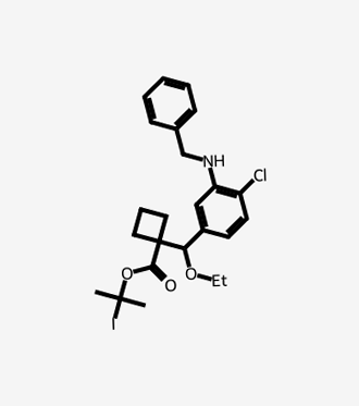 CCOC(c1ccc(Cl)c(NCc2ccccc2)c1)C1(C(=O)OC(C)(C)I)CCC1